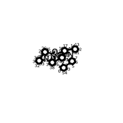 c1ccc(-c2cccc(-n3c4ccccc4c4ccc(-c5nnc(-c6cccc7c8ccccc8n(-c8cccc(-c9ccccc9)c8)c67)o5)cc43)c2)cc1